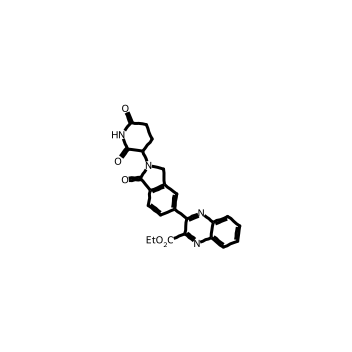 CCOC(=O)c1nc2ccccc2nc1-c1ccc2c(c1)CN(C1CCC(=O)NC1=O)C2=O